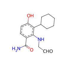 NC(=O)c1ccc(O)c(C2CCCCC2)c1NCC=O